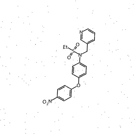 CCS(=O)(=O)N(Cc1cccnc1)c1ccc(Oc2ccc([N+](=O)[O-])cc2)cc1